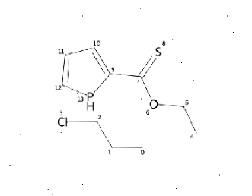 CCCCl.CCOC(=S)c1ccc[pH]1